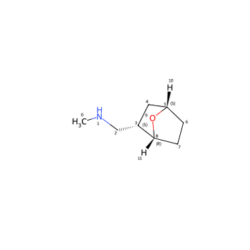 CNC[C@@H]1C[C@@H]2CC[C@H]1O2